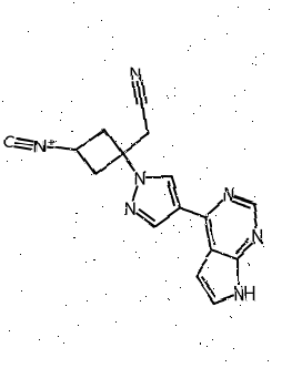 [C-]#[N+]C1CC(CC#N)(n2cc(-c3ncnc4[nH]ccc34)cn2)C1